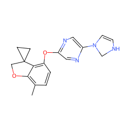 Cc1ccc(Oc2cnc(N3C=CNC3)cn2)c2c1OCC21CC1